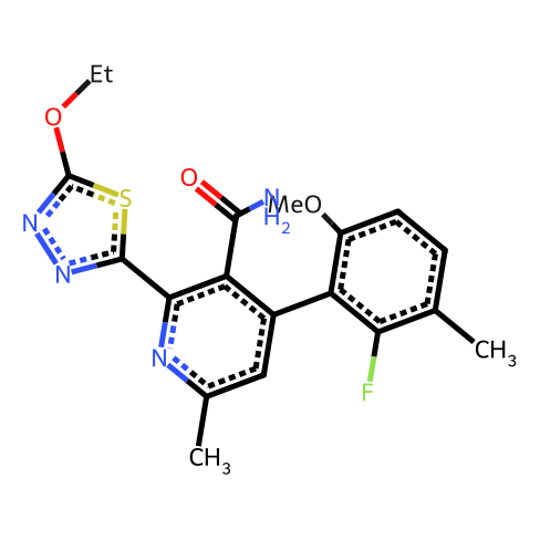 CCOc1nnc(-c2nc(C)cc(-c3c(OC)ccc(C)c3F)c2C(N)=O)s1